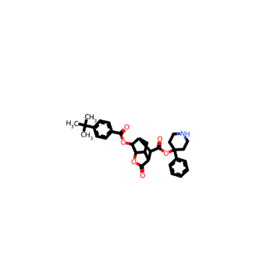 CC(C)(C)c1ccc(C(=O)OC2C3CC4C2OC(=O)C4C3C(=O)OC2(c3ccccc3)CCNCC2)cc1